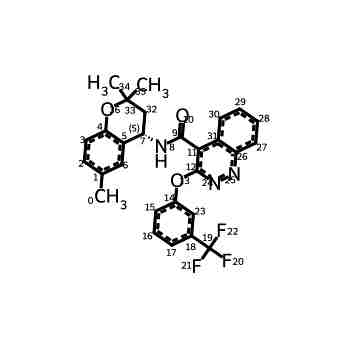 Cc1ccc2c(c1)[C@@H](NC(=O)c1c(Oc3cccc(C(F)(F)F)c3)nnc3ccccc13)CC(C)(C)O2